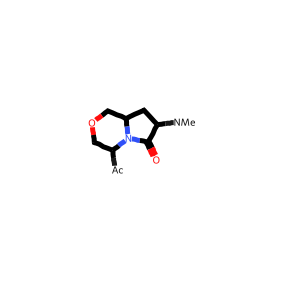 CNC1CC2COCC(C(C)=O)N2C1=O